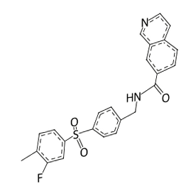 Cc1ccc(S(=O)(=O)c2ccc(CNC(=O)c3ccc4ccncc4c3)cc2)cc1F